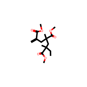 C=C(CC(C)(CC(C)(CC)C(=O)OC)C(=O)OC)C(=O)OC